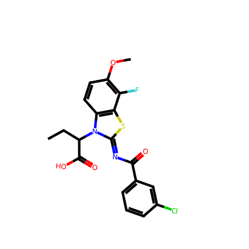 CCC(C(=O)O)n1/c(=N/C(=O)c2cccc(Cl)c2)sc2c(F)c(OC)ccc21